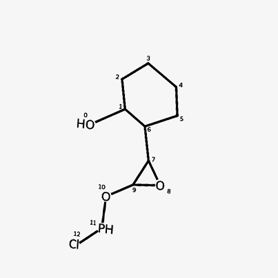 OC1CCCCC1C1OC1OPCl